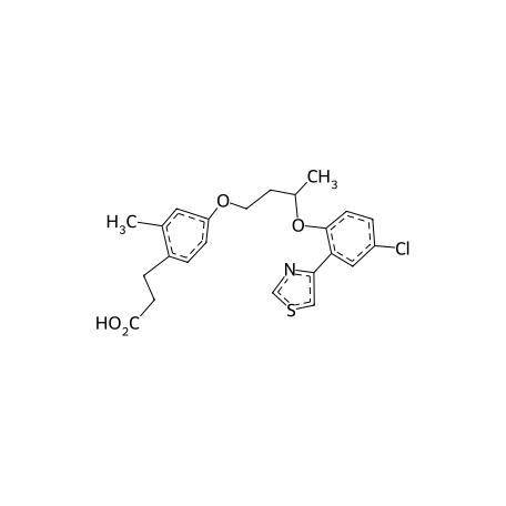 Cc1cc(OCCC(C)Oc2ccc(Cl)cc2-c2cscn2)ccc1CCC(=O)O